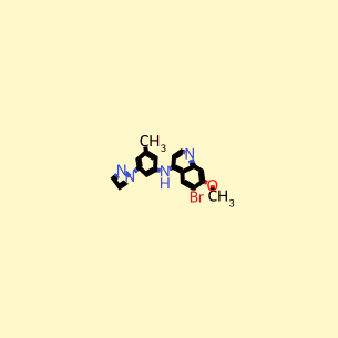 COc1cc2nccc(Nc3cc(C)cc(-n4cccn4)c3)c2cc1Br